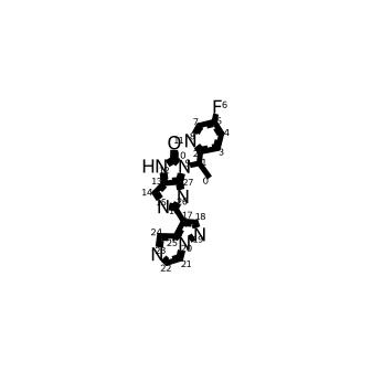 CC(c1ccc(F)cn1)n1c(=O)[nH]c2cnc(-c3cnn4ccncc34)nc21